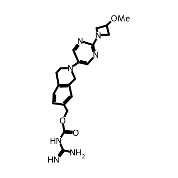 COC1CN(c2ncc(N3CCc4ccc(COC(=O)NC(=N)N)cc4C3)cn2)C1